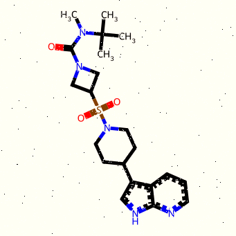 CN(C(=O)N1CC(S(=O)(=O)N2CCC(c3c[nH]c4ncccc34)CC2)C1)C(C)(C)C